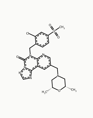 C[C@@H]1CN(Cc2cnc3c(c2)c2ncnn2c(=O)n3Cc2ccc(S(C)(=O)=O)cc2Cl)C[C@H](C)O1